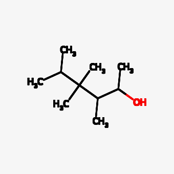 CC(O)C(C)C(C)(C)C(C)C